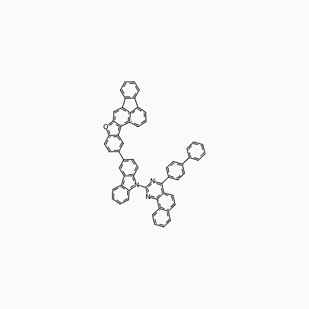 c1ccc(-c2ccc(-c3nc(-n4c5ccccc5c5cc(-c6ccc7oc8cc9c%10c(cccc%10c8c7c6)-c6ccccc6-9)ccc54)nc4c3ccc3ccccc34)cc2)cc1